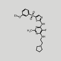 CCOc1cccc(S(=O)(=O)c2cnc(Nc3nc(C)nc(NCCN4CCCC4)c3F)s2)c1